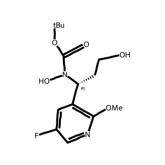 COc1ncc(F)cc1[C@@H](CCO)N(O)C(=O)OC(C)(C)C